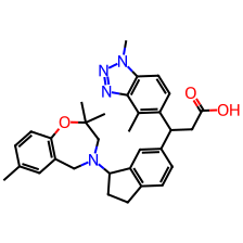 Cc1ccc2c(c1)CN(C1CCc3ccc(C(CC(=O)O)c4ccc5c(nnn5C)c4C)cc31)CC(C)(C)O2